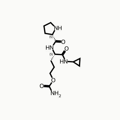 NC(=O)OCCC[C@H](NC(=O)[C@@H]1CCCN1)C(=O)NC1CC1